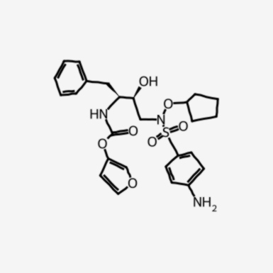 Nc1ccc(S(=O)(=O)N(C[C@H](O)[C@H](Cc2ccccc2)NC(=O)Oc2ccoc2)OC2CCCC2)cc1